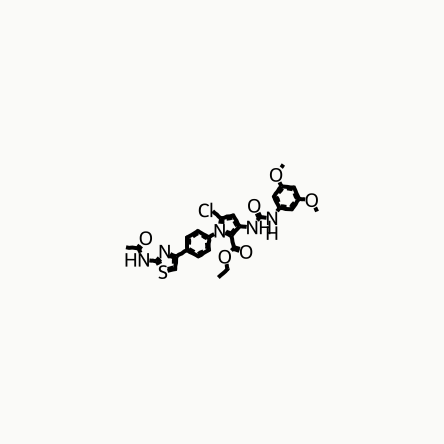 CCOC(=O)c1c(NC(=O)Nc2cc(OC)cc(OC)c2)cc(Cl)n1-c1ccc(-c2csc(NC(C)=O)n2)cc1